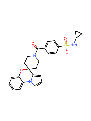 O=C(c1ccc(S(=O)(=O)NC2CC2)cc1)N1CCC2(CC1)Oc1ccccc1-n1cccc12